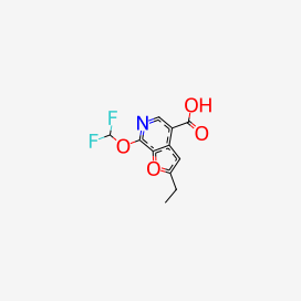 CCc1cc2c(C(=O)O)cnc(OC(F)F)c2o1